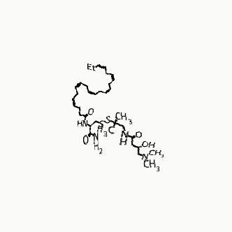 CC/C=C\C/C=C\C/C=C\C/C=C\C/C=C\C/C=C\CCC(=O)N[C@@H](CSSC(C)(C)CNC(=O)CC(O)CN(C)C)C(N)=O